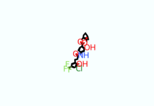 CC1(C)C2CCC1(C)C(OC(=O)c1ccc(NC(=O)CCc3cc(C(F)(F)F)cc(Cl)c3O)cc1O)C2